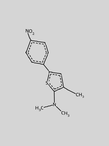 Cc1cc(-c2ccc([N+](=O)[O-])cc2)sc1N(C)C